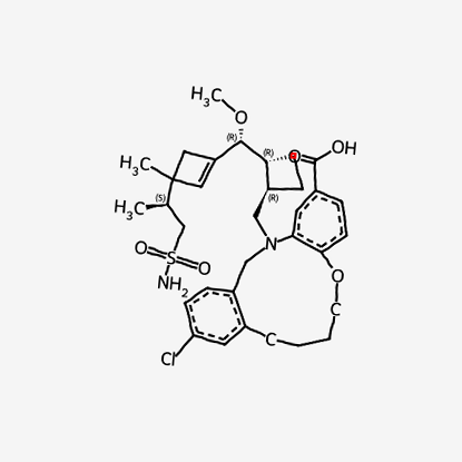 CO[C@@H](C1=CC(C)([C@H](C)CS(N)(=O)=O)C1)[C@@H]1CC[C@H]1CN1Cc2ccc(Cl)cc2CCCCOc2ccc(C(=O)O)cc21